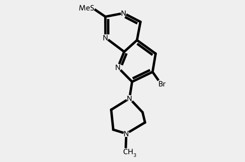 CSc1ncc2cc(Br)c(N3CCN(C)CC3)nc2n1